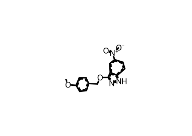 COc1ccc(COc2n[nH]c3ccc([N+](=O)[O-])cc23)cc1